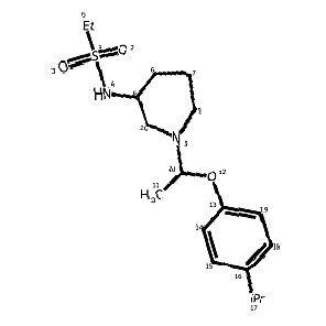 CCS(=O)(=O)NC1CCCN(C(C)Oc2ccc(C(C)C)cc2)C1